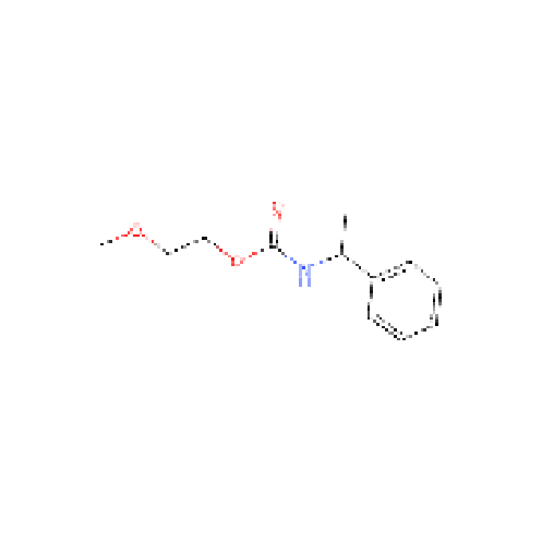 COCCOC(=O)NC(C)c1ccccc1